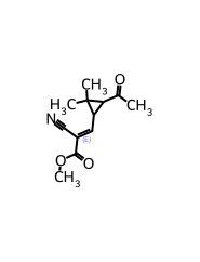 COC(=O)/C(C#N)=C/C1C(C(C)=O)C1(C)C